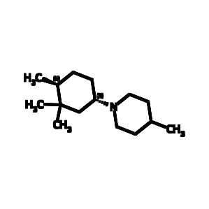 CC1CCN([C@H]2CC[C@H](C)C(C)(C)C2)CC1